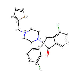 O=C1c2cccc(F)c2CC1(c1cccc(F)c1)N1CCN(Cc2cccs2)CC1